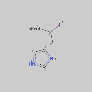 CCCCCC(C)I.c1c[nH]cn1